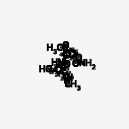 CC(=O)c1cc(C(=O)Nc2cc(CO)cc(-c3cnn(C)c3)c2F)c2cc(OC(N)=O)ccn12